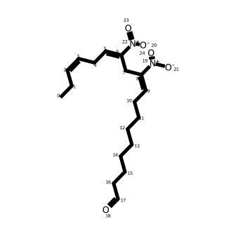 CC/C=C\C/C=C(\C/C(=C\CCCCCCC[C]=O)[N+](=O)[O-])[N+](=O)[O-]